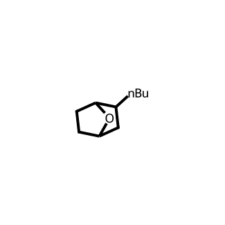 CCCCC1CC2CCC1O2